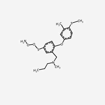 CCCN(C)Cc1cc(SOON)ccc1Oc1ccc(SC)c(C)c1